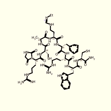 CC/N=C\NCC[C@H](NC(=O)[C@@H](C)NC(=O)[C@H](CS)NC(=O)[C@H](CCCNC(=N)N)N1C(=O)CNC1=O)C(=O)N[C@H](Cc1ccccc1)C(=O)N[C@@H](CCCNC(=N)N)C(=O)N[C@@H](Cc1c[nH]c2ccccc12)C(=O)N[C@@H](CS)C(N)=O